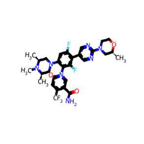 C[C@@H]1CN(c2ncc(-c3c(F)cc(N4C[C@@H](C)N(C)[C@@H](C)C4)c(-n4cc(C(N)=O)c(C(F)(F)F)cc4=O)c3F)cn2)CCO1